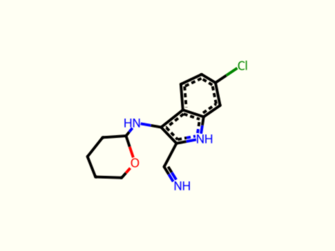 N=Cc1[nH]c2cc(Cl)ccc2c1NC1CCCCO1